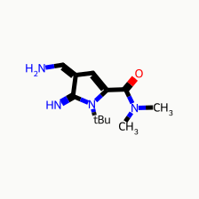 CN(C)C(=O)C1=C/C(=C/N)C(=N)N1C(C)(C)C